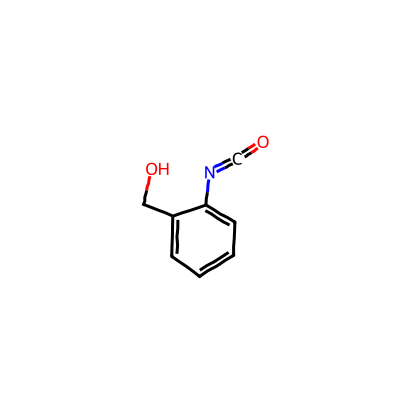 O=C=Nc1ccccc1CO